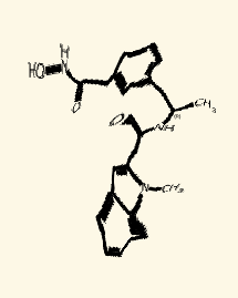 C[C@@H](NC(=O)c1cc2ccccc2n1C)c1cccc(C(=O)NO)c1